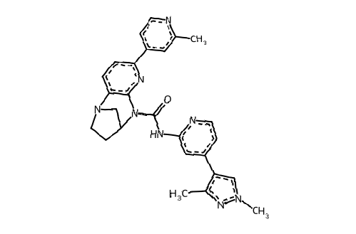 Cc1cc(-c2ccc3c(n2)N(C(=O)Nc2cc(-c4cn(C)nc4C)ccn2)C2CCN3C2)ccn1